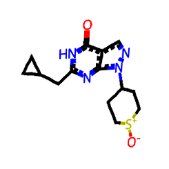 O=c1[nH]c(CC2CC2)nc2c1cnn2C1CC[S+]([O-])CC1